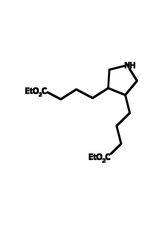 CCOC(=O)CCCC1CNCC1CCCC(=O)OCC